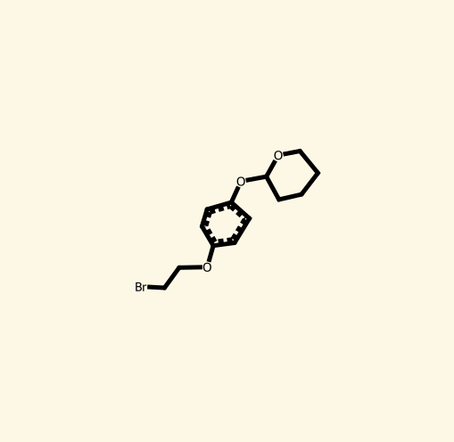 BrCCOc1ccc(OC2CCCCO2)cc1